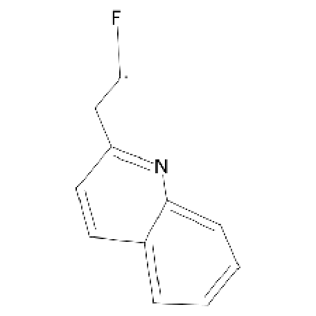 F[CH]Cc1ccc2ccccc2n1